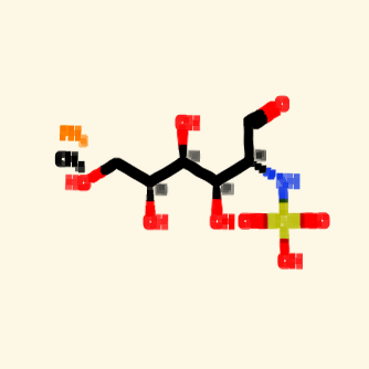 C.O=C[C@H](NS(=O)(=O)O)[C@@H](O)[C@H](O)[C@H](O)CO.P